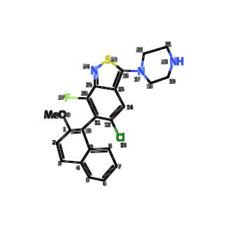 COc1ccc2ccccc2c1-c1c(Cl)cc2c(N3CCNCC3)snc2c1F